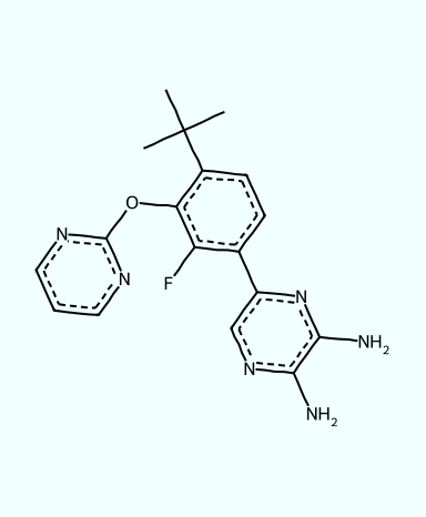 CC(C)(C)c1ccc(-c2cnc(N)c(N)n2)c(F)c1Oc1ncccn1